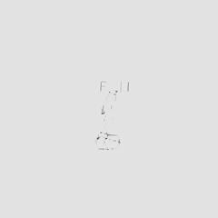 CC(F)(F)COC(=O)OCC12CC3CC(CC(C3)C1)C2